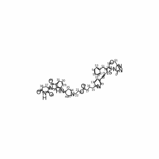 Cc1nnc2n1-c1sc(C#Cc3ccc(CCCC(=O)OCCN4CCC(Nc5cccc6c5CN(C5CCC(=O)NC5=O)C6=O)CC4)nc3)c(Cc3ccccc3)c1COC2